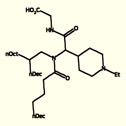 CCCCCCCCCCCCCC(=O)N(CC(CCCCCCCC)CCCCCCCCCC)C(C(=O)NCC(=O)O)C1CCN(CC)CC1